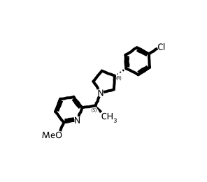 COc1cccc([C@H](C)N2CC[C@H](c3ccc(Cl)cc3)C2)n1